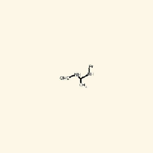 CC(C)NC(C)N[C]=O